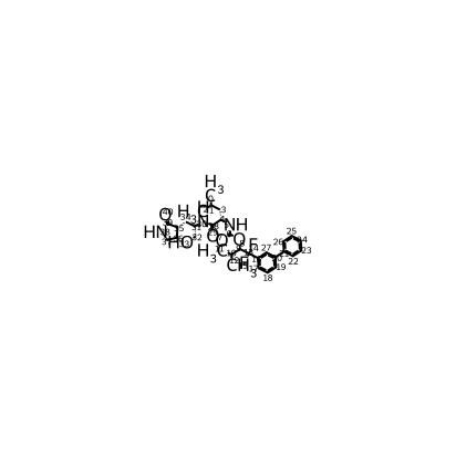 CC(C)C[C@H](NC(=O)O[C@H](C(C)C)C(F)(F)c1cccc(-c2ccccc2)c1)C(=O)N[C@H](CO)C[C@@H]1CCNC1=O